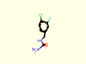 NC(=O)NCc1ccc(Cl)c(F)c1